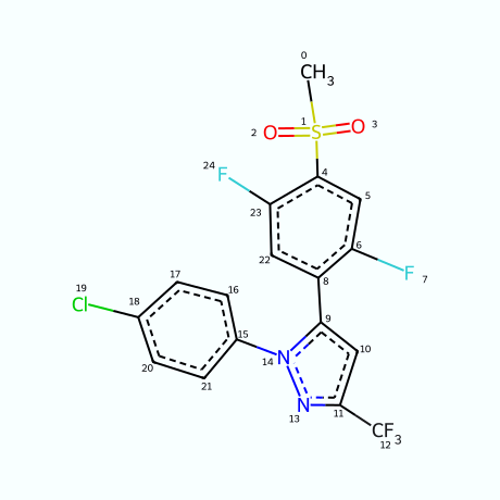 CS(=O)(=O)c1cc(F)c(-c2cc(C(F)(F)F)nn2-c2ccc(Cl)cc2)cc1F